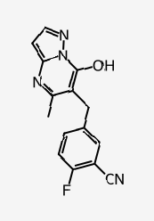 Cc1nc2ccnn2c(O)c1Cc1ccc(F)c(C#N)c1